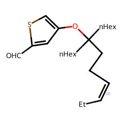 CC/C=C\CCC(CCCCCC)(CCCCCC)Oc1csc(C=O)c1